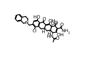 CC(=O)N[C@@H]1C(O)=C(C(N)=O)C(=O)[C@@]2(O)C(O)=C3C(=O)c4c(O)cc(CN5CCc6ccccc6C5)c(Cl)c4C[C@H]3C[C@@H]12